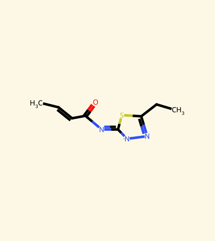 C/C=C/C(=O)N=C1[N]N=C(CC)S1